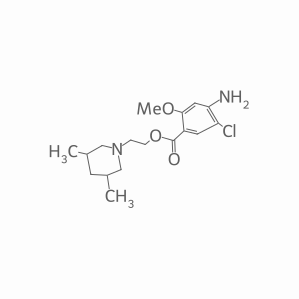 COc1cc(N)c(Cl)cc1C(=O)OCCN1CC(C)CC(C)C1